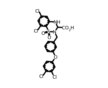 O=C(O)C1Nc2cc(Cl)cc(Cl)c2S(=O)(=O)N1Cc1cccc(Oc2ccc(Cl)c(Cl)c2)c1